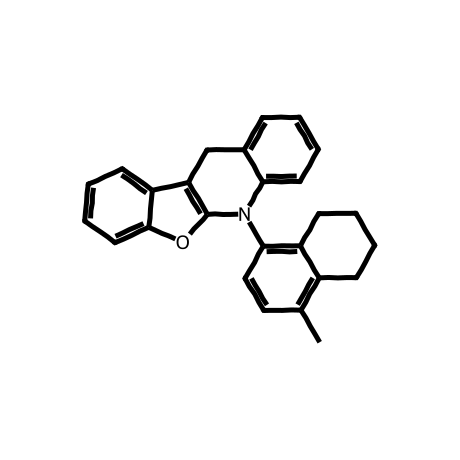 Cc1ccc(N2c3ccccc3Cc3c2oc2ccccc32)c2c1CCCC2